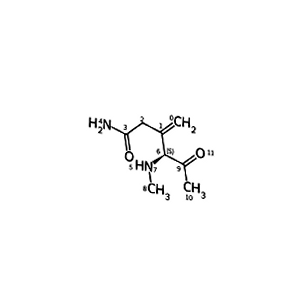 C=C(CC(N)=O)[C@H](NC)C(C)=O